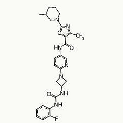 CC1CCCN(c2nc(C(F)(F)F)c(C(=O)Nc3ccc(N4CC(NC(=O)Nc5ccccc5F)C4)nc3)o2)C1